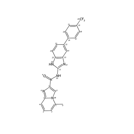 Cc1cccc2nc(C(=O)Nc3nc4cc(-c5ccc(C(F)(F)F)cc5)ccc4[nH]3)cn12